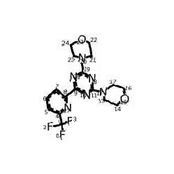 FC(F)(F)c1cccc(-c2nc(N3CCOCC3)nc(N3CCOCC3)n2)n1